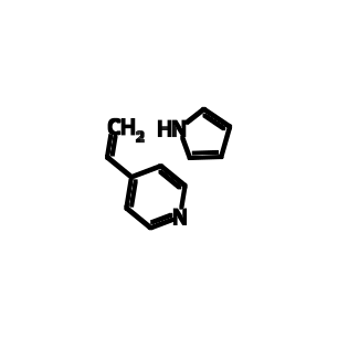 C=Cc1ccncc1.c1cc[nH]c1